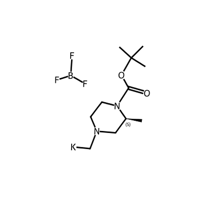 C[C@H]1CN([CH2][K])CCN1C(=O)OC(C)(C)C.FB(F)F